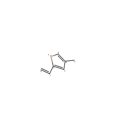 C=Cc1cc(C)cs1